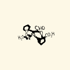 Cc1cnc(N2c3cccc(C(=O)O)c3O[C@H](C=O)C2C2CCCCO2)o1